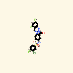 O=c1[nH]n(Cc2ccc(F)cc2F)c2ccc(NS(=O)(=O)c3ccc(F)c(Cl)c3)cc12